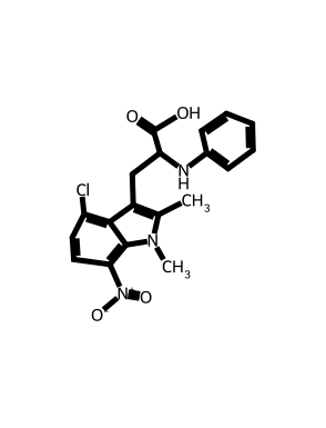 Cc1c(CC(Nc2ccccc2)C(=O)O)c2c(Cl)ccc([N+](=O)[O-])c2n1C